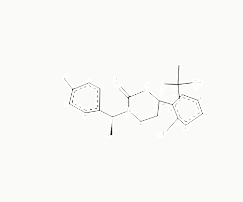 Cc1ccc([C@H](C)N2CC[C@](CC(C)(C)O)(c3ccccc3F)OC2=O)cc1